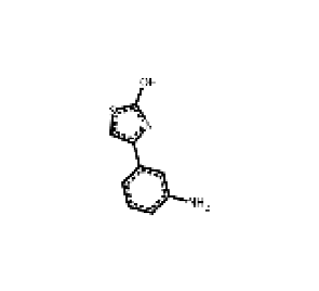 Nc1cccc(-c2csc(O)n2)c1